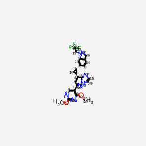 COc1ncc(-c2cc([C@H]3C[C@@H]3c3ccc4cnn(CC(F)(F)F)c4c3)c3nccn3n2)c(OC)n1